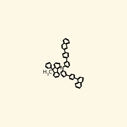 CC1(c2ccccc2)c2ccccc2-c2c(N(c3cccc(-c4ccc(-c5ccc6ccccc6c5)cc4)c3)c3cccc(-c4ccc(-c5cccc6ccccc56)cc4)c3)cccc21